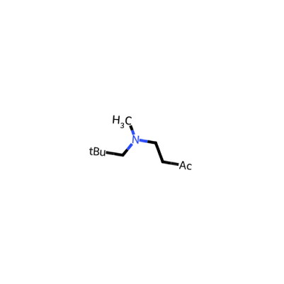 CC(=O)CCN(C)CC(C)(C)C